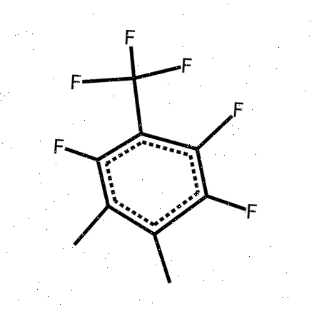 Cc1c(C)c(F)c(C(F)(F)F)c(F)c1F